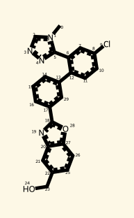 Cn1cnnc1-c1cc(Cl)ccc1-c1cccc(-c2nc3cc(CO)ccc3o2)c1